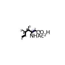 C=C[C@@H](C)[C@@H](C)/C(=C/C(=O)O)NC(C)=O